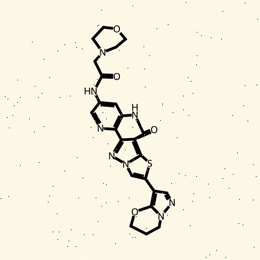 O=C(CN1CCOCC1)Nc1cnc2c(c1)[nH]c(=O)c1c2nn2cc(-c3cnn4c3OCCC4)sc12